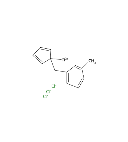 Cc1cccc(C[C]2([Ti+3])C=CC=C2)c1.[Cl-].[Cl-].[Cl-]